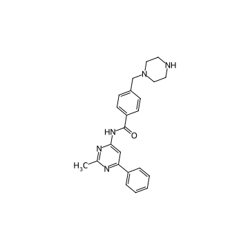 Cc1nc(NC(=O)c2ccc(CN3CCNCC3)cc2)cc(-c2ccccc2)n1